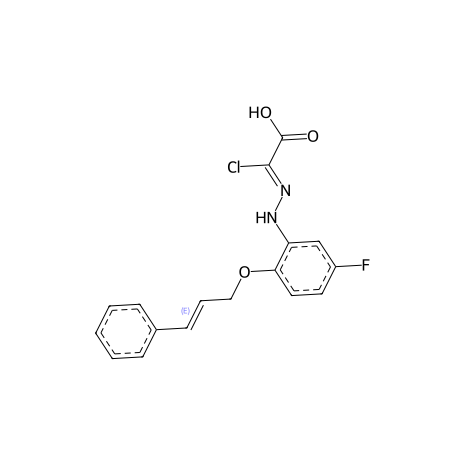 O=C(O)C(Cl)=NNc1cc(F)ccc1OC/C=C/c1ccccc1